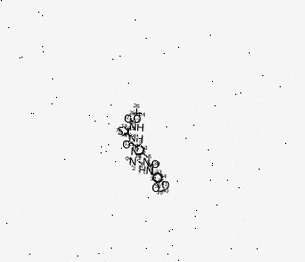 CN(C)CCN(Cc1ccc(C(=O)Nc2cscc2NC(=O)OC(C)(C)C)nc1)C(=O)Nc1ccc2c(c1)OCCO2